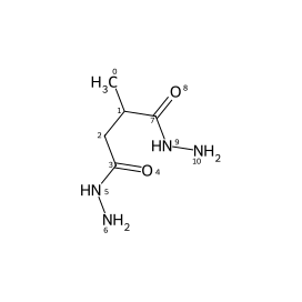 CC(CC(=O)NN)C(=O)NN